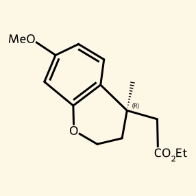 CCOC(=O)C[C@@]1(C)CCOc2cc(OC)ccc21